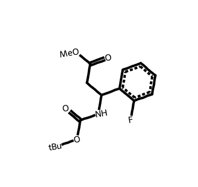 COC(=O)CC(NC(=O)OC(C)(C)C)c1ccccc1F